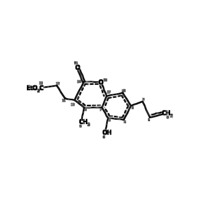 C=CCc1cc(O)c2c(C)c(CCC(=O)OCC)c(=O)oc2c1